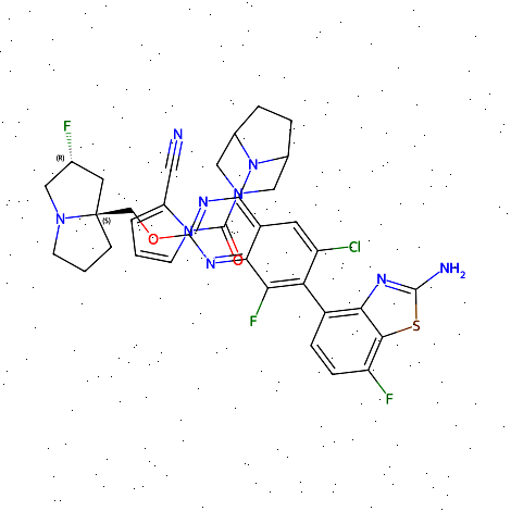 N#Cc1cccn1C(=O)N1CC2CCC(C1)N2c1nc(OC[C@@]23CCCN2C[C@H](F)C3)nc2c(F)c(-c3ccc(F)c4sc(N)nc34)c(Cl)cc12